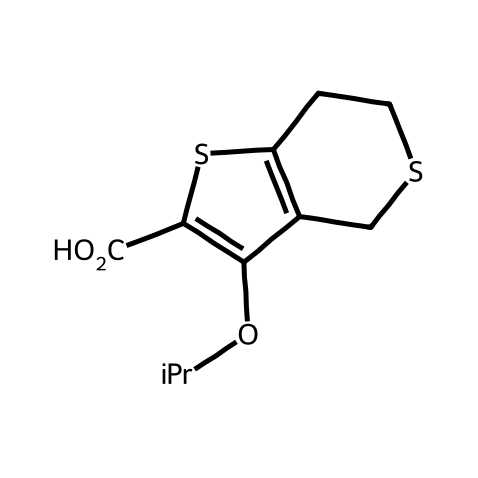 CC(C)Oc1c(C(=O)O)sc2c1CSCC2